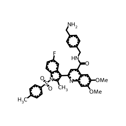 COc1cc2nc(-c3c(C)n(S(=O)(=O)c4ccc(C)cc4)c4ccc(F)cc34)cc(C(=O)NCc3ccc(CN)cc3)c2cc1OC